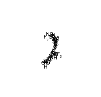 CC1(C)C(=O)N(c2cnc(C#N)c(C(F)(F)F)c2)C(=S)N1C1CCC(OCCCN2CCN(CC(=O)Nc3ccc(C4CCC(=O)NC4=O)cc3)[C@@H](C(F)(F)F)C2)CC1